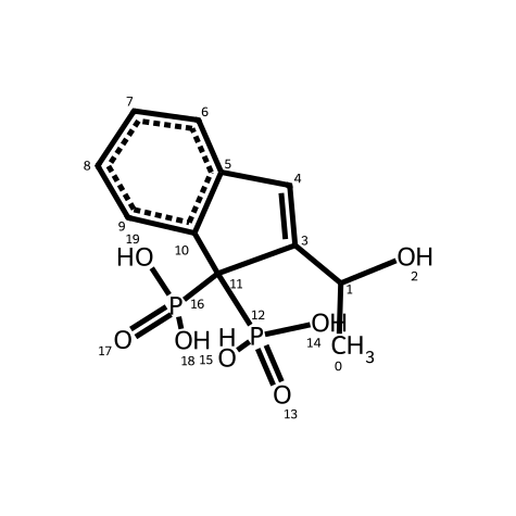 CC(O)C1=Cc2ccccc2C1(P(=O)(O)O)P(=O)(O)O